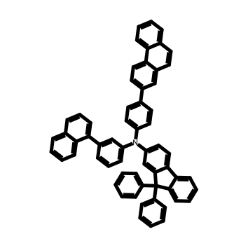 c1ccc(C2(c3ccccc3)c3ccccc3-c3ccc(N(c4ccc(-c5ccc6c(ccc7ccccc76)c5)cc4)c4cccc(-c5cccc6ccccc56)c4)cc32)cc1